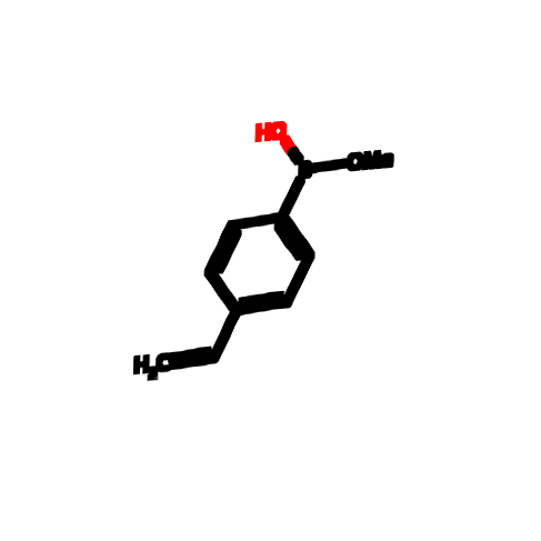 C=Cc1ccc(B(O)OC)cc1